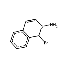 NN1C=Cc2ccccc2C1Br